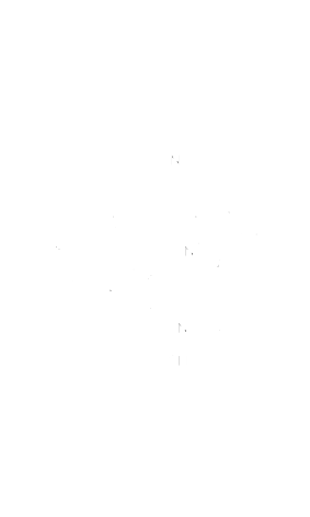 CN1CCC(=O)N2c3cccnc3Cc3ccccc3C2C1